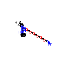 CC1CCN(c2nc(NC34CC5CC(CC(C5)C3)C4)nc(OCCOCCOCCOCCOCCOCCN=[N+]=[N-])n2)CC1